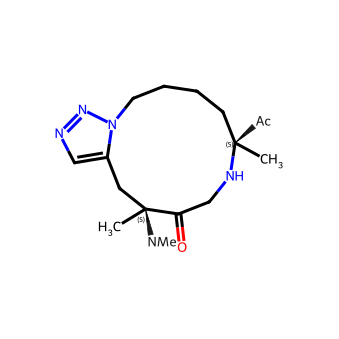 CN[C@@]1(C)Cc2cnnn2CCCC[C@@](C)(C(C)=O)NCC1=O